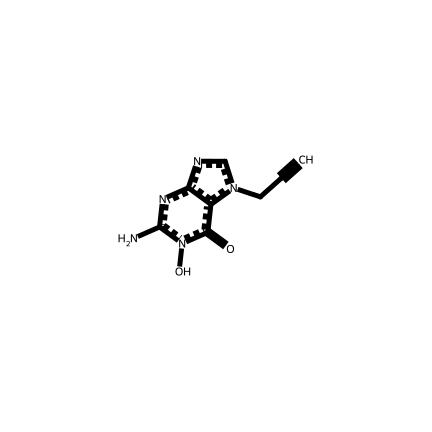 C#CCn1cnc2nc(N)n(O)c(=O)c21